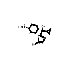 CCOC(=O)[C@H]1CC[C@H](C(O)(c2ncc(Br)s2)C2CC2)CC1